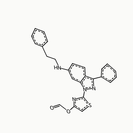 O=COc1csc(-n2nc(-c3ccccc3)c3ccc(NCCc4ccccc4)cc32)n1